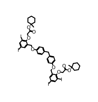 CC1(OC(=O)COc2c(I)cc(I)cc2COc2ccc(Cc3ccc(OCc4cc(I)cc(I)c4OCC(=O)OC4(C)CCCCC4)cc3)cc2)CCCCC1